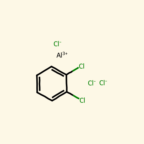 Clc1ccccc1Cl.[Al+3].[Cl-].[Cl-].[Cl-]